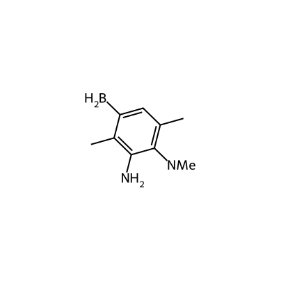 Bc1cc(C)c(NC)c(N)c1C